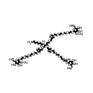 CC(=O)N[C@H]1[C@H](OCCOCCOCCOCCn2cc(COCCC(OCc3cn(CCOCCOCCOCCO[C@@H]4O[C@H](CO)[C@H](O)[C@H](O)[C@H]4NC(C)=O)nn3)C(COCc3cn(CCOCCOCCOCCO[C@@H]4O[C@H](CO)[C@H](O)[C@H](O)[C@H]4NC(C)=O)nn3)NC(=O)CCCCCN)nn2)O[C@H](CO)[C@H](O)[C@@H]1O